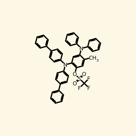 Cc1cc(OS(=O)(=O)C(F)(F)F)c(N(c2ccc(-c3ccccc3)cc2)c2ccc(-c3ccccc3)cc2)cc1N(c1ccccc1)c1ccccc1